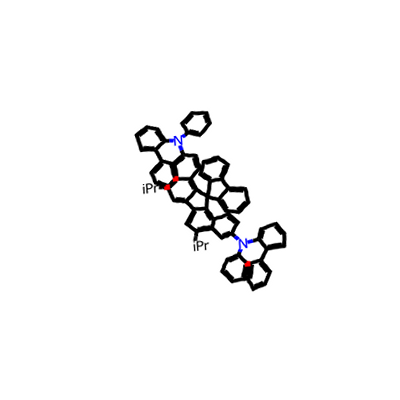 CC(C)c1cc2c(c3ccc(N(c4ccccc4)c4ccccc4-c4ccccc4)cc13)C1(c3ccccc3-c3ccccc31)c1c-2cc(C(C)C)c2cc(N(c3ccccc3)c3ccccc3-c3ccccc3)ccc12